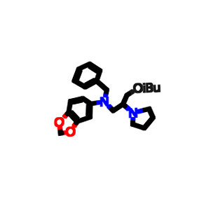 CC(C)COCC(CN(Cc1ccccc1)c1ccc2c(c1)OCO2)N1CCCC1